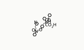 O=C(c1ccccc1)c1ccccc1N[C@@H](Cc1ccc(OCCN(C(=O)CCc2cccnc2)c2ccccc2)cc1)C(=O)O